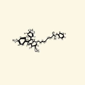 Cc1ccc(-c2nc3c(nc2-c2ccc(C)cc2)N(CCCCCCC(=O)NCc2ccccc2)CC(O)C3)cc1